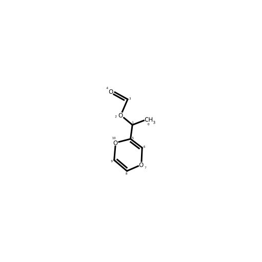 CC(OC=O)C1=COC=CO1